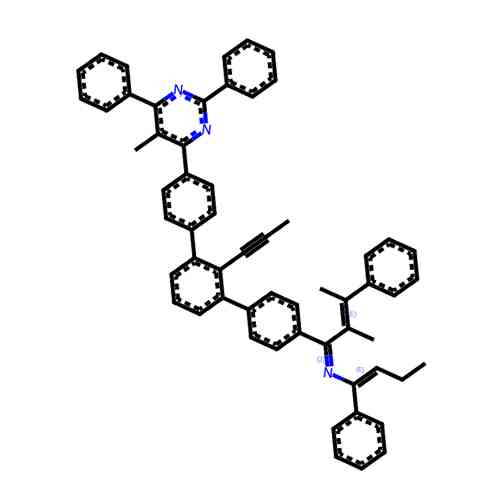 CC#Cc1c(-c2ccc(C(=N/C(=C/CC)c3ccccc3)/C(C)=C(\C)c3ccccc3)cc2)cccc1-c1ccc(-c2nc(-c3ccccc3)nc(-c3ccccc3)c2C)cc1